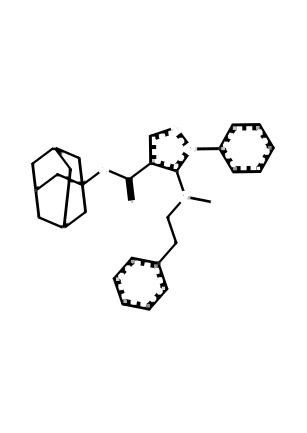 CN(CCc1ccccc1)c1c(C(=O)NC23CC4CC(CC(C4)C2)C3)cnn1-c1ccccc1